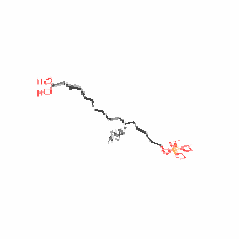 O=P([O-])([O-])OCCCCCCCCCCCCCCCC(O)O.[Na+].[Na+]